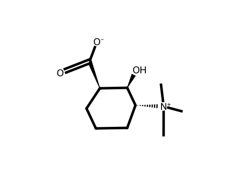 C[N+](C)(C)[C@@H]1CCC[C@@H](C(=O)[O-])[C@H]1O